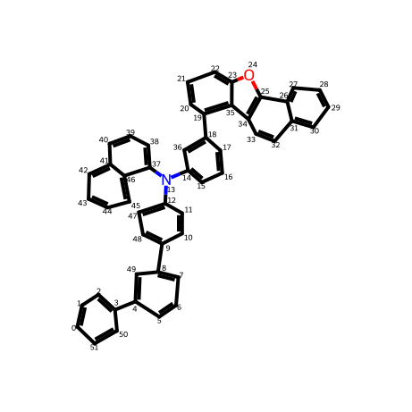 c1ccc(-c2cccc(-c3ccc(N(c4cccc(-c5cccc6oc7c8ccccc8ccc7c56)c4)c4cccc5ccccc45)cc3)c2)cc1